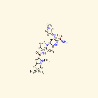 C[C@@H]1[C@H](NC(=O)c2cc3c(n2C)CC(C)(C)C3)CCCN1c1cnc(C(N)=O)c(Nc2cnn(C)c2)n1